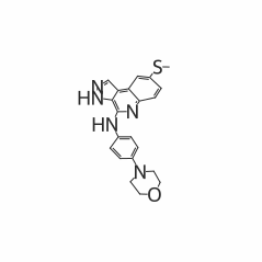 CSc1ccc2nc(Nc3ccc(N4CCOCC4)cc3)c3[nH]ncc3c2c1